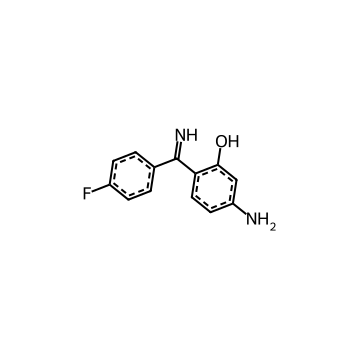 N=C(c1ccc(F)cc1)c1ccc(N)cc1O